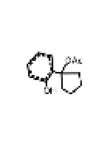 CC(=O)OC1(c2ccccc2O)CCCC1